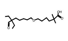 CCC(C=O)(CC)CCCCCOCCCCC(C)(C)C(=O)O